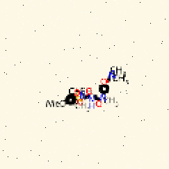 COc1cc(C)c(S(=O)(=O)N(C)CC(=O)NCC(=O)N(C)C2CCC(OCCN(C)C)CC2)c(C)c1